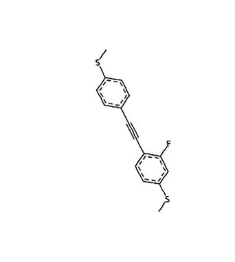 CSc1ccc(C#Cc2ccc(SC)cc2F)cc1